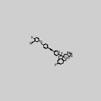 N#CC1=C(F)C=CC(OCc2ccc(C#Cc3ccc(C(F)(F)C(O)(Cn4cnnn4)C4=C(F)CC=C(F)C=C4)nc3)cc2)C1